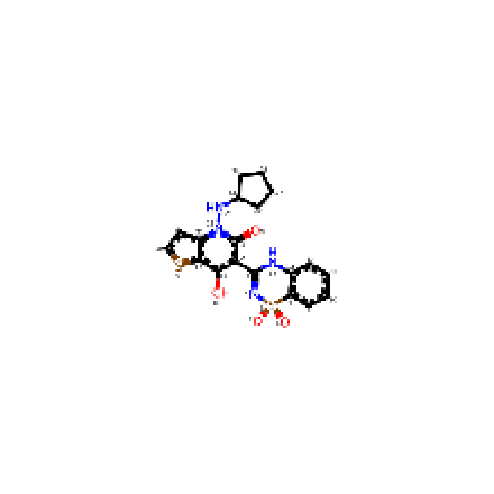 O=c1c(C2=NS(=O)(=O)c3ccccc3N2)c(O)c2sccc2n1NC1CCCC1